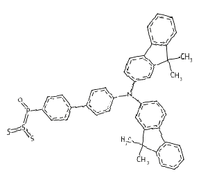 CC1(C)c2ccccc2-c2ccc(N(c3ccc(-c4ccc(P(=O)=S(=S)=S)cc4)cc3)c3ccc4c(c3)C(C)(C)c3ccccc3-4)cc21